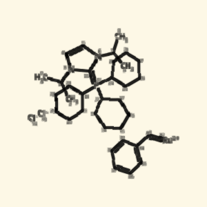 CC(C)n1ccn(C(C)C)c1=P(C1CCCCC1)(C1CCCCC1)C1CCCCC1.[Cl-].[Cl-].[Ru+2]=[CH]c1ccccc1